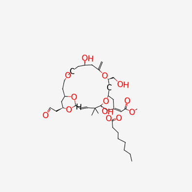 C=C1C[C@H](O)CCOCCC2C[C@H](CC=O)O[C@H](/C=C/C(C)(C)C3(O)OC(C/C(=C\C(=O)OC)[C@@H]3OC(=O)CCCCCCC)C[C@H](CO)O1)O2